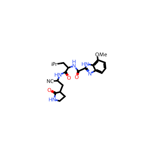 COc1cccc2nc(C(=O)NC(CC(C)C)C(=O)NC(C#N)CC3CCNC3=O)[nH]c12